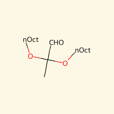 CCCCCCCCOC(C)(C=O)OCCCCCCCC